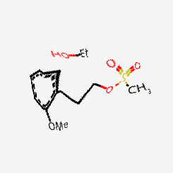 CCO.COc1ccccc1CCOS(C)(=O)=O